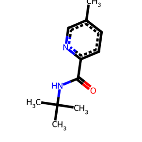 Cc1ccc(C(=O)NC(C)(C)C)nc1